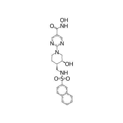 O=C(NO)c1cnc(N2CC[C@H](CNS(=O)(=O)c3ccc4ccccc4c3)[C@H](O)C2)nc1